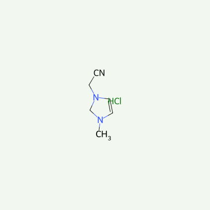 CN1C=CN(CC#N)C1.Cl